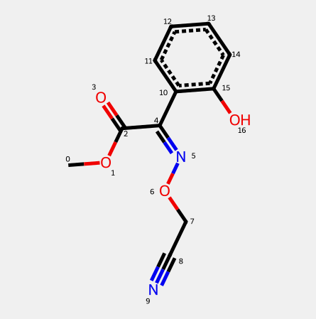 COC(=O)C(=NOCC#N)c1ccccc1O